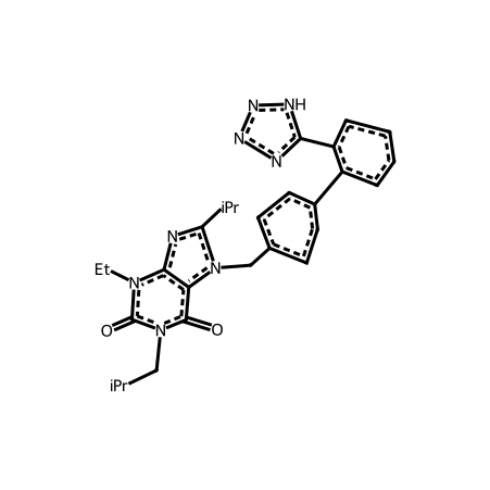 CCn1c(=O)n(CC(C)C)c(=O)c2c1nc(C(C)C)n2Cc1ccc(-c2ccccc2-c2nnn[nH]2)cc1